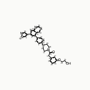 Cn1cc(-c2cc(-c3ccc(N4CCN(C(=O)Cc5cccc(OCCO)c5)CC4)nc3)c3cncnc3c2)cn1